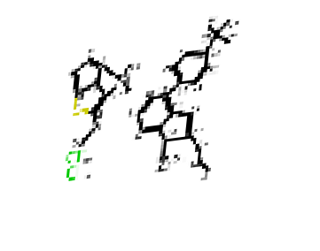 CCC1=C2C3C(=CC=C3[Si]2(C)C)S1.CCCC1=Cc2c(-c3ccc(C(C)(C)C)cc3)cccc2[CH]1[Zr+2].[Cl-].[Cl-]